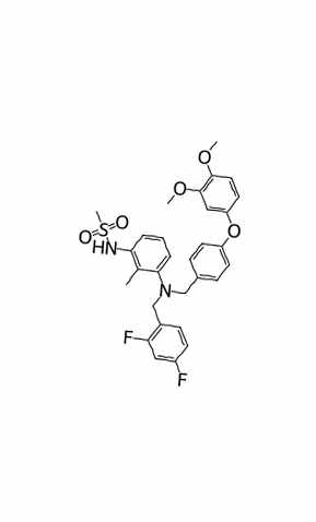 COc1ccc(Oc2ccc(CN(Cc3ccc(F)cc3F)c3cccc(NS(C)(=O)=O)c3C)cc2)cc1OC